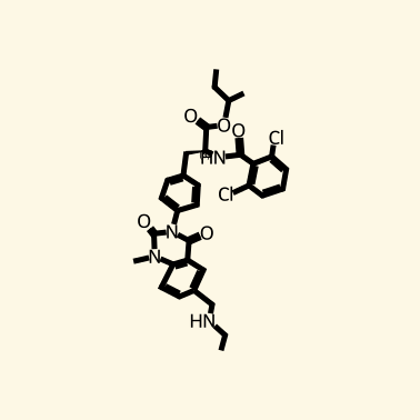 CCNCc1ccc2c(c1)c(=O)n(-c1ccc(C[C@H](NC(=O)c3c(Cl)cccc3Cl)C(=O)OC(C)CC)cc1)c(=O)n2C